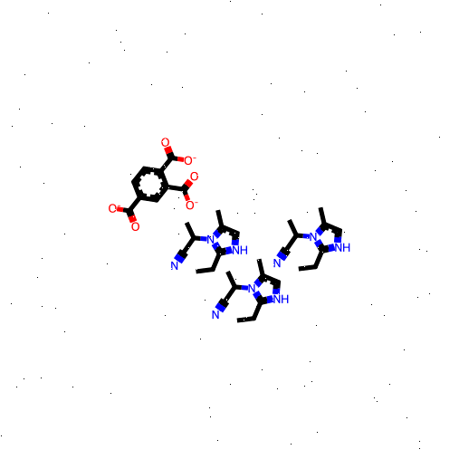 CCc1[nH]cc(C)[n+]1C(C)C#N.CCc1[nH]cc(C)[n+]1C(C)C#N.CCc1[nH]cc(C)[n+]1C(C)C#N.O=C([O-])c1ccc(C(=O)[O-])c(C(=O)[O-])c1